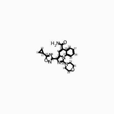 NC(=O)c1cc2c(-c3noc(C4CC4)n3)nc(N3CCOCC3)n2c2ccccc12